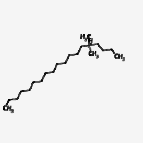 CCCCCCCCCCCCCC[PH](C)(C)CCCC